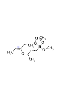 C/C=C(/CC)OC(C)CC[Si](OC)(OC)OC